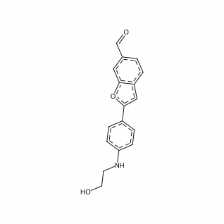 O=Cc1ccc2cc(-c3ccc(NCCO)cc3)oc2c1